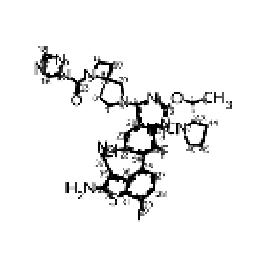 CC(Oc1nc(N2CC[C@@]3(CCN3C(=O)n3cncn3)C2)c2cc(Cl)c(-c3ccc(F)c4sc(N)c(C#N)c34)c(F)c2n1)[C@@H]1CCCN1C